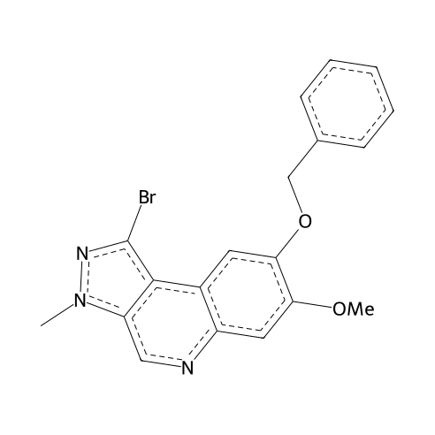 COc1cc2ncc3c(c(Br)nn3C)c2cc1OCc1ccccc1